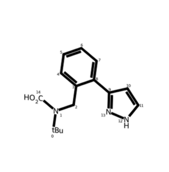 CC(C)(C)N(Cc1ccccc1-c1cc[nH]n1)C(=O)O